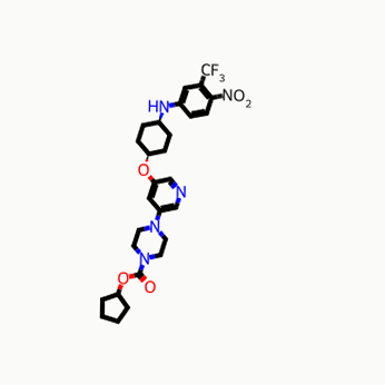 O=C(OC1CCCC1)N1CCN(c2cncc(O[C@H]3CC[C@H](Nc4ccc([N+](=O)[O-])c(C(F)(F)F)c4)CC3)c2)CC1